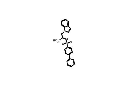 O=C(O)C(Cn1ccc2ccccc21)NS(=O)(=O)c1ccc(-c2ccccc2)cc1